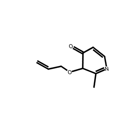 C=CCOC1C(=O)C=CN=C1C